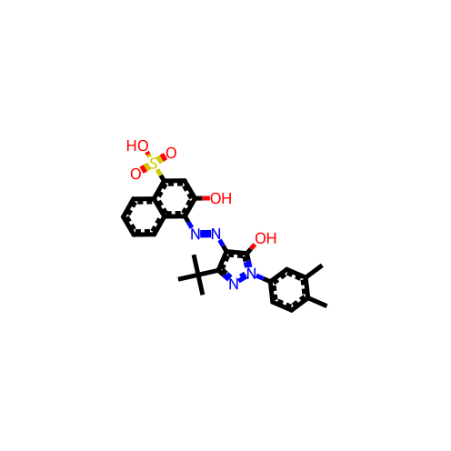 Cc1ccc(-n2nc(C(C)(C)C)c(N=Nc3c(O)cc(S(=O)(=O)O)c4ccccc34)c2O)cc1C